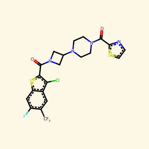 O=C(c1nccs1)N1CCN(C2CN(C(=O)c3sc4cc(F)c(C(F)(F)F)cc4c3Cl)C2)CC1